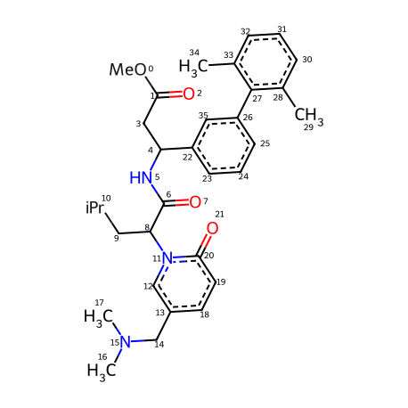 COC(=O)CC(NC(=O)C(CC(C)C)n1cc(CN(C)C)ccc1=O)c1cccc(-c2c(C)cccc2C)c1